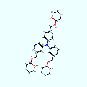 c1cc(COC2CCCCO2)cc(N(c2ccc(COC3CCCCO3)cc2)c2cccc(COC3CCCCO3)c2)c1